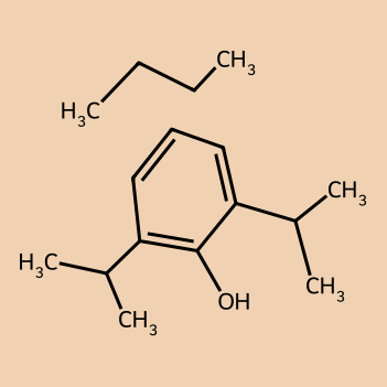 CC(C)c1cccc(C(C)C)c1O.CCCC